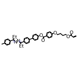 C=CC(=O)OCCCCOc1ccc(C(=O)Oc2ccc(-c3ccc(/C(CC)=N/N=C(\CC)c4ccc(C)cc4)cc3)cc2)cc1